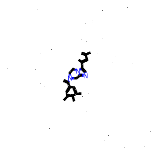 C=C(C)/C=C(\C)c1cnc2n1CCN(C(=C)c1cc(C)c(C)c(C)c1)C2